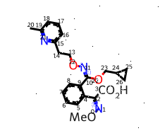 CO/N=C(/C(=O)O)c1ccccc1/C(=N\OCCc1cccc(C)n1)OCC1CC1